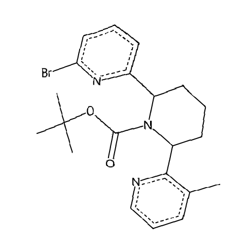 Cc1cccnc1C1CCCC(c2cccc(Br)n2)N1C(=O)OC(C)(C)C